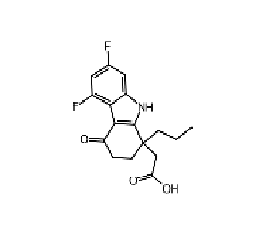 CCCC1(CC(=O)O)CCC(=O)c2c1[nH]c1cc(F)cc(F)c21